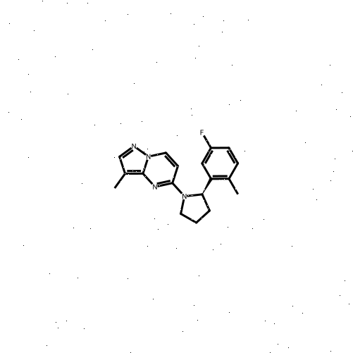 Cc1ccc(F)cc1[C@H]1CCCN1c1ccn2ncc(C)c2n1